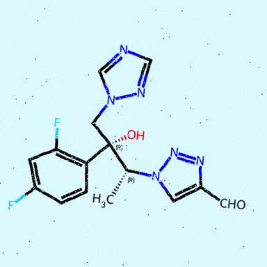 C[C@@H](n1cc(C=O)nn1)[C@](O)(Cn1cncn1)c1ccc(F)cc1F